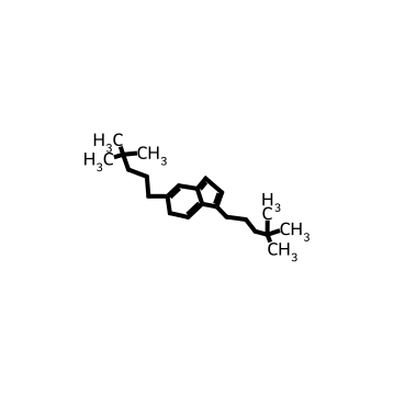 CC(C)(C)CCCC1=CC2=CC=C(CCCC(C)(C)C)C2=CC1